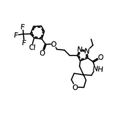 CCn1nc(CCCOC(=O)c2cccc(C(F)(F)F)c2Cl)c2c1C(=O)NCC1(CCOCC1)C2